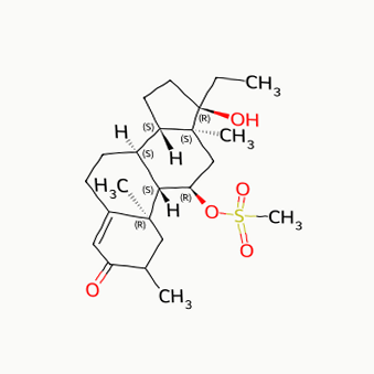 CC[C@@]1(O)CC[C@H]2[C@@H]3CCC4=CC(=O)C(C)C[C@]4(C)[C@H]3[C@H](OS(C)(=O)=O)C[C@@]21C